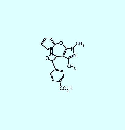 Cc1nn(C)c(Oc2ccccc2)c1C1NOC1c1ccc(C(=O)O)cc1